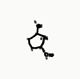 CC(C)(C)C1CC[C@@H]([C]=O)N1